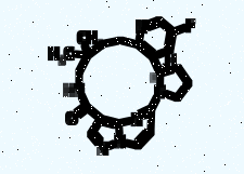 CC1(C)CCc2ncc(F)cc2[C@H]2CCCN2c2ccn3ncc(c3n2)C(=O)NC1